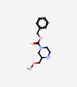 COCC1CN(C(=O)OCc2ccccc2)CCN1